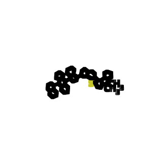 CC1(C)c2ccccc2-c2c1ccc1sc3c4cc(-c5ccc(-c6c7ccccc7c(-c7cccc8ccccc78)c7ccccc67)c6ccccc56)ccc4ccc3c21